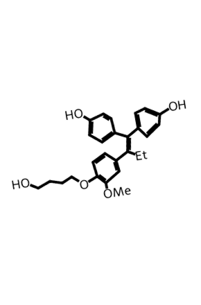 CCC(=C(c1ccc(O)cc1)c1ccc(O)cc1)c1ccc(OCCCCO)c(OC)c1